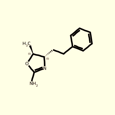 C[C@@H]1OC(N)=N[C@H]1CCc1ccccc1